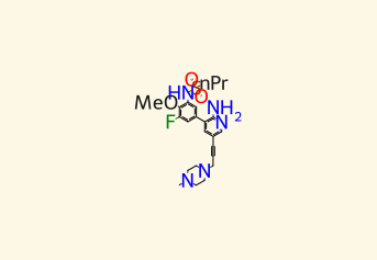 CCCS(=O)(=O)Nc1cc(-c2cc(C#CCN3CCN(C)CC3)cnc2N)cc(F)c1OC